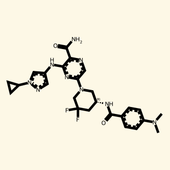 CN(C)c1ccc(C(=O)N[C@H]2CN(c3cnc(C(N)=O)c(Nc4cnn(C5CC5)c4)n3)CC(F)(F)C2)cc1